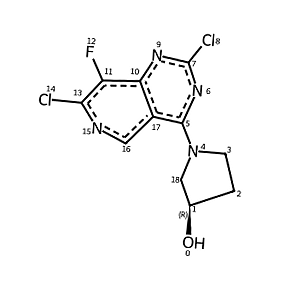 O[C@@H]1CCN(c2nc(Cl)nc3c(F)c(Cl)ncc23)C1